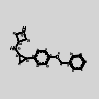 c1ccc(COc2ccc(C3CC3NC3CNC3)cc2)cc1